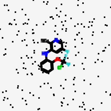 N#Cc1ncc(F)cc1Nc1ccccc1OC(F)(F)Cl